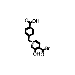 O=C(Br)C1=C(O)CN(Cc2ccc(C(=O)O)cc2)C=C1